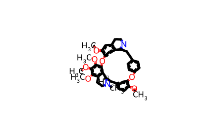 COc1ccc2cc1Oc1ccc(cc1)CC1=NCCc3cc(OC)c(cc31)Oc1c(OC)c(OC)c(OC)c3c1[C@H](C2)N(C)CC3